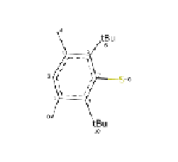 Cc1cc(C)c(C(C)(C)C)c([S])c1C(C)(C)C